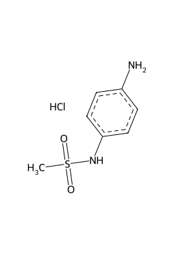 CS(=O)(=O)Nc1ccc(N)cc1.Cl